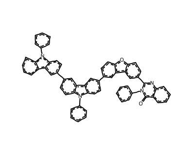 O=c1c2ccccc2nc(-c2ccc3oc4ccc(-c5ccc6c(c5)c5cc(-c7ccc8c(c7)c7ccccc7n8-c7ccccc7)ccc5n6-c5ccccc5)cc4c3c2)n1-c1ccccc1